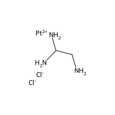 NCC(N)N.[Cl-].[Cl-].[Pt+2]